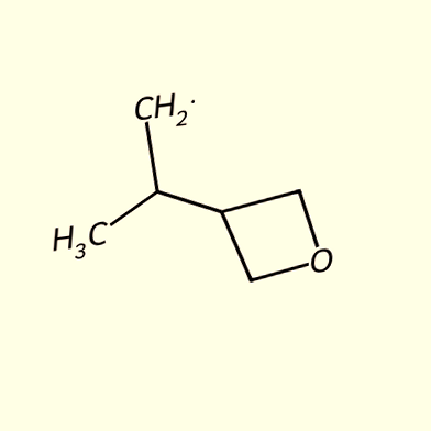 [CH2]C(C)C1COC1